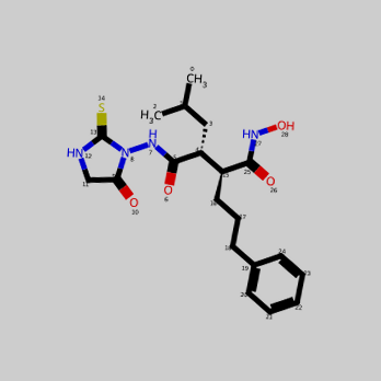 CC(C)C[C@@H](C(=O)NN1C(=O)CNC1=S)[C@H](CCCc1ccccc1)C(=O)NO